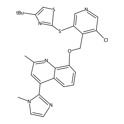 Cc1cc(-c2nccn2C)c2cccc(OCc3c(Cl)cncc3Sc3nc(C(C)(C)C)cs3)c2n1